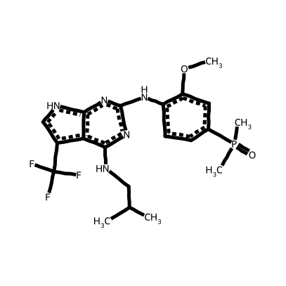 COc1cc(P(C)(C)=O)ccc1Nc1nc(NCC(C)C)c2c(C(F)(F)F)c[nH]c2n1